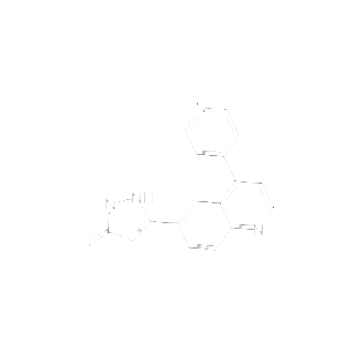 O=C1C=C(c2ccc3nccc(-c4ccncc4)c3c2)N[N]1